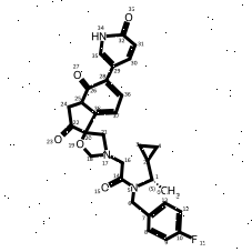 C[C@@H](C1CC1)N(Cc1ccc(F)cc1)C(=O)CN1COC2(C1)C(=O)CC1C(=O)C(c3ccc(=O)[nH]c3)=CC=C12